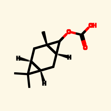 CC1(C)[C@@H]2C[C@@H]3C(OC(=O)O)[C@@]3(C)C[C@@H]21